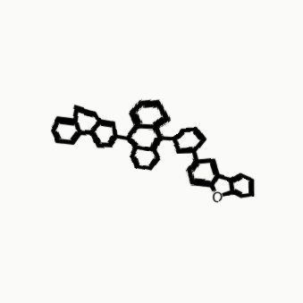 c1cc(-c2ccc3oc4ccccc4c3c2)cc(-c2c3ccccc3c(-c3ccc4c(ccc5ccccc54)c3)c3ccccc23)c1